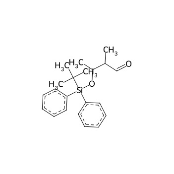 CC(C=O)C(C)O[Si](c1ccccc1)(c1ccccc1)C(C)(C)C